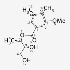 COc1cc(C(=O)O[C@H](C)[C@@H](O)CO)cc(C)c1C